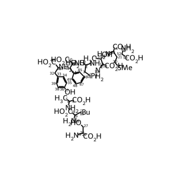 CC(C)CC(N)C(=O)O.CC(N)C(=O)O.CC(O)C(N)C(=O)O.CCC(C)C(N)C(=O)O.CSCCC(N)C(=O)O.NC(CO)C(=O)O.NC(Cc1ccc(O)cc1)C(=O)O.NC(Cc1ccccc1)C(=O)O.NCC(=O)O